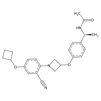 CC(=O)N[C@@H](C)c1ccc(OC2CN(c3ccc(OC4CCC4)cc3C#N)C2)cc1